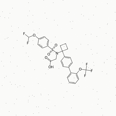 O=C(O)CN(C1(c2ccc(-c3ccccc3OC(F)(F)F)cc2)CCC1)S(=O)(=O)c1ccc(OC(F)F)cc1